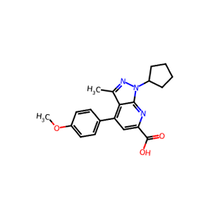 COc1ccc(-c2cc(C(=O)O)nc3c2c(C)nn3C2CCCC2)cc1